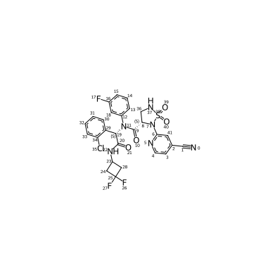 N#Cc1ccnc(N2[C@H](C(=O)N(c3cccc(F)c3)[C@H](C(=O)NC3CC(F)(F)C3)c3ccccc3Cl)CNS2(=O)=O)c1